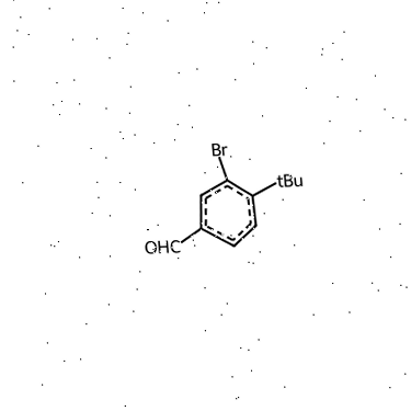 CC(C)(C)c1ccc(C=O)cc1Br